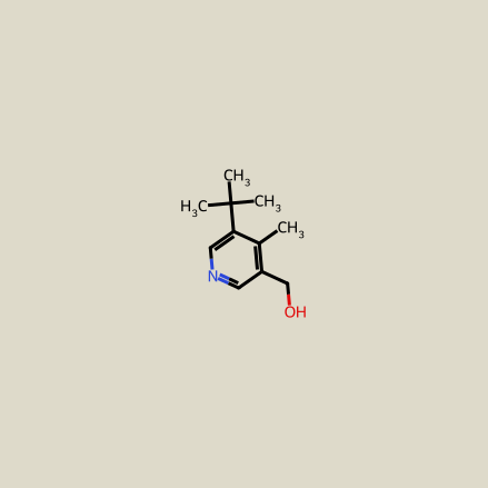 Cc1c(CO)cncc1C(C)(C)C